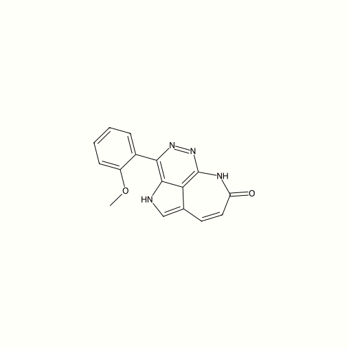 COc1ccccc1-c1nnc2c3c(c[nH]c13)C=CC(=O)N2